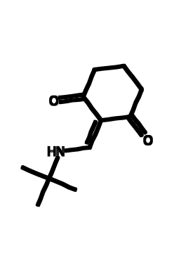 CC(C)(C)NC=C1C(=O)CCCC1=O